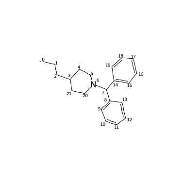 [CH2]CCC1CCN(C(c2ccccc2)c2ccccc2)CC1